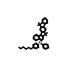 CCCCCCc1ccc(N(c2ccccc2)c2cc3c(c4ccccc24)-c2cc4c(cc2C3(C)C)-c2ccccc2C4(C)C)cc1